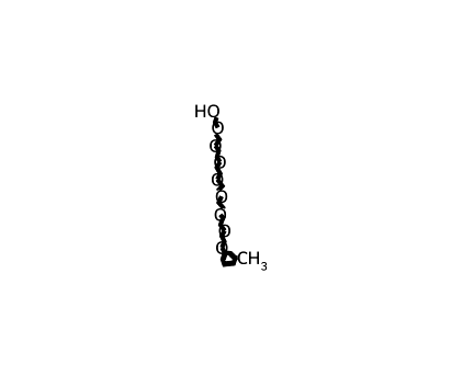 Cc1cccc(OCCOCCOCCOCCOCCOCCOCCOCCO)c1